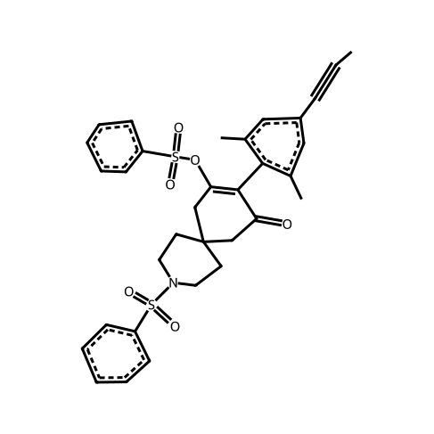 CC#Cc1cc(C)c(C2=C(OS(=O)(=O)c3ccccc3)CC3(CCN(S(=O)(=O)c4ccccc4)CC3)CC2=O)c(C)c1